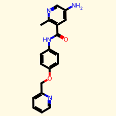 Cc1ncc(N)cc1C(=O)Nc1ccc(OCc2ccccn2)cc1